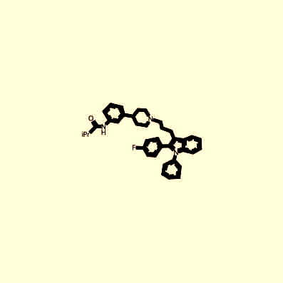 CC(C)C(=O)Nc1cccc(C2CCN(CCCc3c(-c4ccc(F)cc4)n(-c4ccccc4)c4ccccc34)CC2)c1